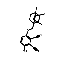 CC12CCC(COc3ccc(O)c(C#N)c3C#N)(CC1)C(F)=C2F